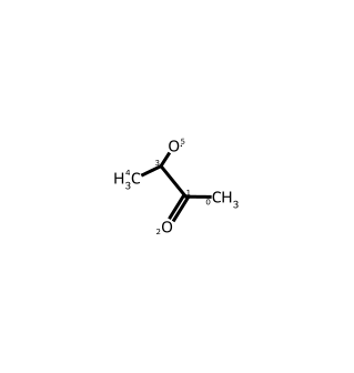 CC(=O)C(C)[O]